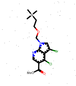 COC(=O)c1cnc2c(c(Br)cn2COCC[Si](C)(C)C)c1Cl